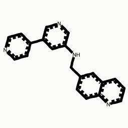 c1cnc2ccc(CNc3cncc(-c4ccncc4)c3)cc2c1